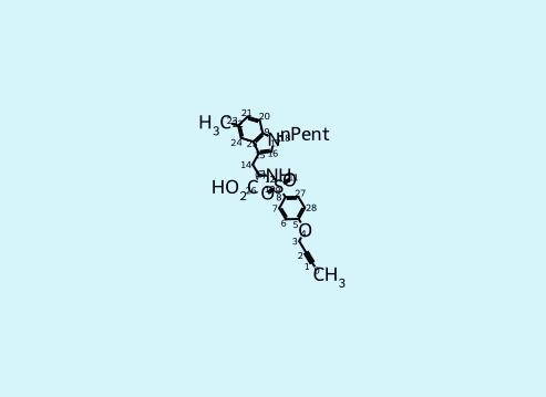 CC#CCOc1ccc(S(=O)(=O)N[C@@H](Cc2cn(CCCCC)c3ccc(C)cc23)C(=O)O)cc1